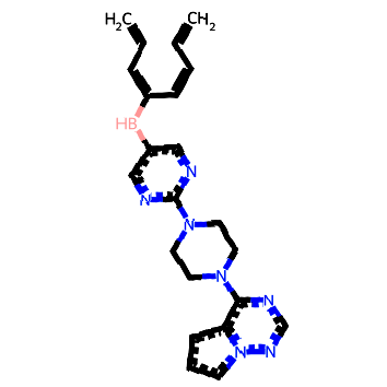 C=C/C=C\C(Bc1cnc(N2CCN(c3ncnn4cccc34)CC2)nc1)=C/C=C